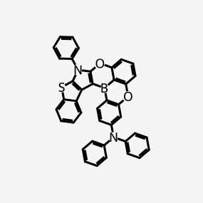 c1ccc(N(c2ccccc2)c2ccc3c(c2)Oc2cccc4c2B3c2c(n(-c3ccccc3)c3sc5ccccc5c23)O4)cc1